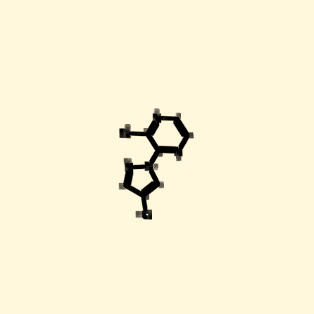 CCc1nccnc1-n1cc(Cl)cn1